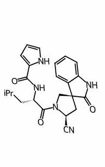 CC(C)C[C@H](NC(=O)c1ccc[nH]1)C(=O)N1C[C@]2(C[C@H]1C#N)C(=O)Nc1ccccc12